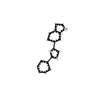 c1ccc(-c2nc(-c3ccc4cc[nH]c4c3)cs2)cc1